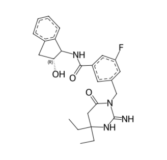 CCC1(CC)CC(=O)N(Cc2cc(F)cc(C(=O)NC3c4ccccc4C[C@H]3O)c2)C(=N)N1